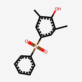 Cc1cc(S(=O)(=O)c2ccccc2)cc(C)c1O